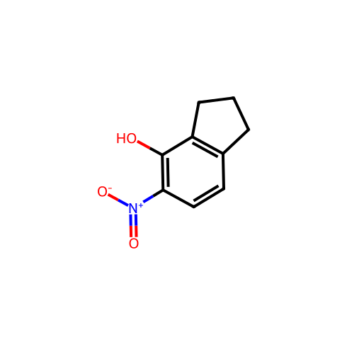 O=[N+]([O-])c1ccc2c(c1O)CCC2